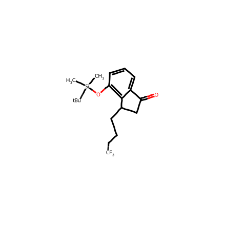 CC(C)(C)[Si](C)(C)Oc1cccc2c1C(CCCC(F)(F)F)CC2=O